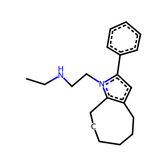 CCNCCn1c(-c2ccccc2)cc2c1CCCCCC2